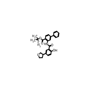 CC(C)(C)OC(=O)c1ccc(-c2ccccc2)cc1NC(=O)c1cc(C2CCOC2)ccc1O